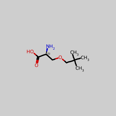 CC(C)(C)COC[C@H](N)C(=O)O